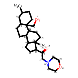 CC1CCC2(CO)C(CCC3C4CCC(C(=O)CN5CCOCC5)C4(C)CCC32)C1